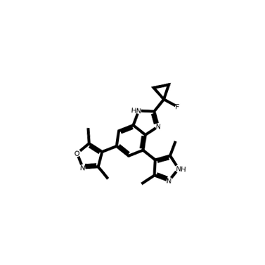 Cc1n[nH]c(C)c1-c1cc(-c2c(C)noc2C)cc2[nH]c(C3(F)CC3)nc12